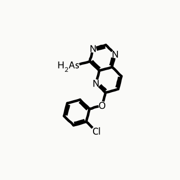 Clc1ccccc1Oc1ccc2ncnc([AsH2])c2n1